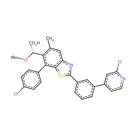 Cc1cc2nc(-c3cccc(-c4ccnc(Cl)c4)c3)sc2c(-c2ccc(Cl)cc2)c1[C@H](OC(C)(C)C)C(=O)O